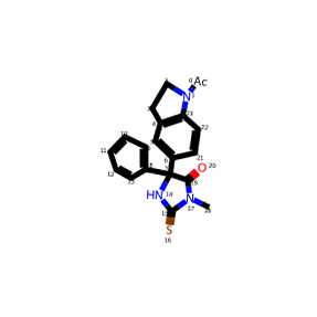 CC(=O)N1CCc2cc(C3(c4ccccc4)NC(=S)N(C)C3=O)ccc21